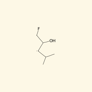 CC(C)[CH]C(O)CF